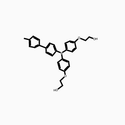 Cc1ccc(-c2ccc(N(c3ccc(OCCO)cc3)c3ccc(OCCO)cc3)cc2)cc1